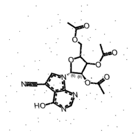 CC(=O)OCC1O[C@@H](n2cc(C#N)c3c(O)ncnc32)[C@H](OC(C)=O)C1OC(C)=O